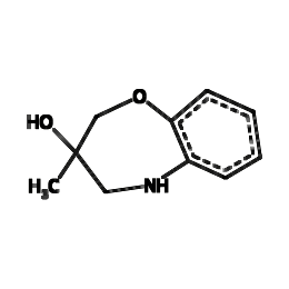 CC1(O)CNc2ccccc2OC1